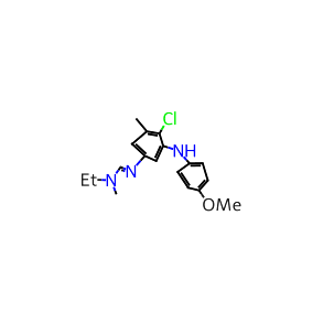 CCN(C)C=Nc1cc(C)c(Cl)c(Nc2ccc(OC)cc2)c1